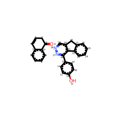 O=C1CC=Cc2ccccc21.Oc1ccc(-c2nncc3c2-c2ccccc2C3)cc1